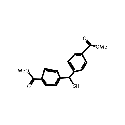 COC(=O)c1ccc(C(S)c2ccc(C(=O)OC)cc2)cc1